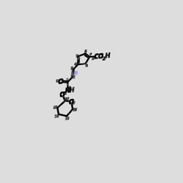 O=C(/C=C/C1=CC=C(C(=O)O)C1)NOC1CCCCO1